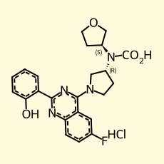 Cl.O=C(O)N([C@@H]1CCN(c2nc(-c3ccccc3O)nc3ccc(F)cc23)C1)[C@H]1CCOC1